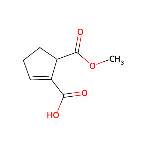 COC(=O)C1CCC=C1C(=O)O